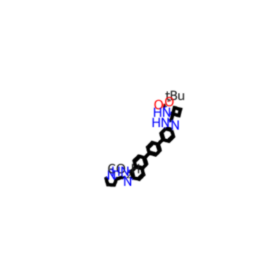 CC(C)(C)OC(=O)NC1(c2nc3ccc(-c4ccc(-c5ccc6c(ccc7nc(C8CCCN8C(=O)O)[nH]c76)c5)cc4)cc3[nH]2)CCC1